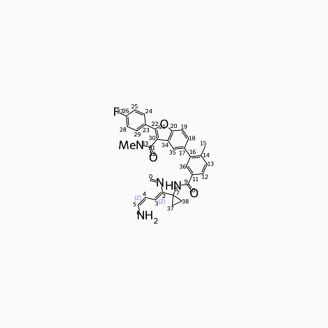 C=N/C(=C\C=C/N)C1(NC(=O)c2ccc(C)c(-c3ccc4oc(-c5ccc(F)cc5)c(C(=O)NC)c4c3)c2)CC1